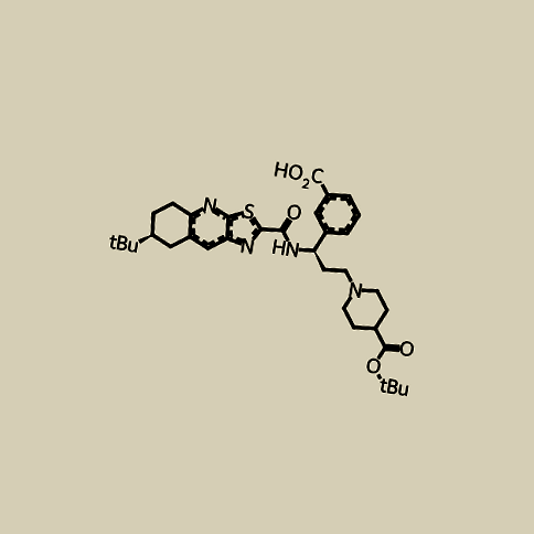 CC(C)(C)OC(=O)C1CCN(CC[C@@H](NC(=O)c2nc3cc4c(nc3s2)CC[C@H](C(C)(C)C)C4)c2cccc(C(=O)O)c2)CC1